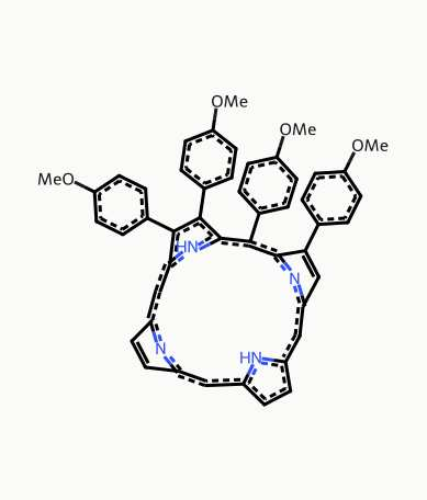 COc1ccc(C2=Cc3cc4ccc(cc5nc(cc6[nH]c(c(-c7ccc(OC)cc7)c2n3)c(-c2ccc(OC)cc2)c6-c2ccc(OC)cc2)C=C5)[nH]4)cc1